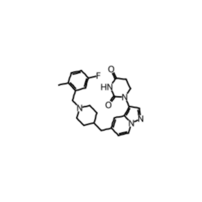 Cc1ccc(F)cc1CN1CCC(Cc2ccn3ncc(N4CCC(=O)NC4=O)c3c2)CC1